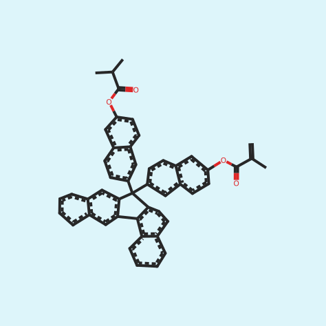 C=C(C)C(=O)Oc1ccc2cc(C3(c4ccc5cc(OC(=O)C(C)C)ccc5c4)c4cc5ccccc5cc4-c4c3ccc3ccccc43)ccc2c1